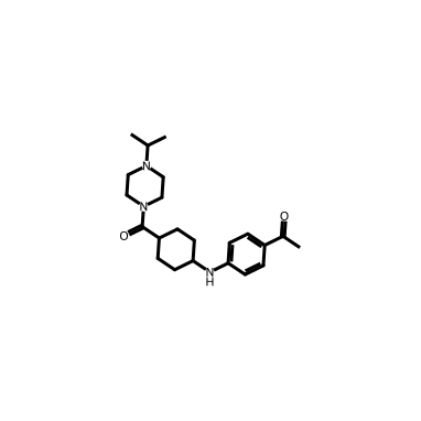 CC(=O)c1ccc(NC2CCC(C(=O)N3CCN(C(C)C)CC3)CC2)cc1